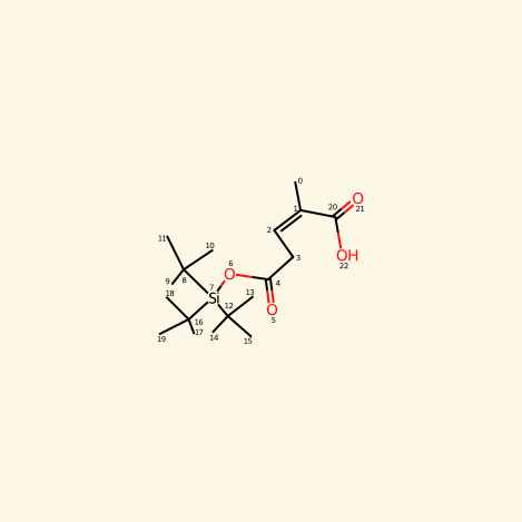 CC(=CCC(=O)O[Si](C(C)(C)C)(C(C)(C)C)C(C)(C)C)C(=O)O